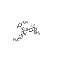 CN1CCN(c2ncc(Sc3ccc(C(N)=O)c(C(F)(F)F)c3)c(OCc3cc(CO)ccc3F)n2)CC1